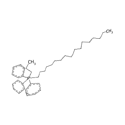 CCCCCCCCCCCCCCCCCP(CCC)(c1ccccc1)(c1ccccc1)c1ccccc1